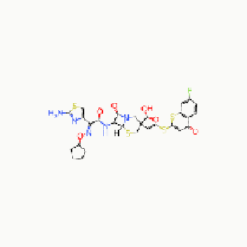 Nc1nc(C(=NOC2CCCC2)C(=O)NC2C(=O)N3CC(C=CSc4cc(=O)c5ccc(F)cc5s4)(C(=O)O)CS[C@H]23)cs1